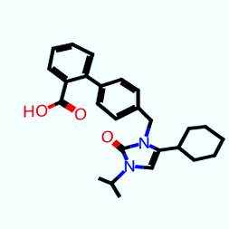 CC(C)n1cc(C2CCCCC2)n(Cc2ccc(-c3ccccc3C(=O)O)cc2)c1=O